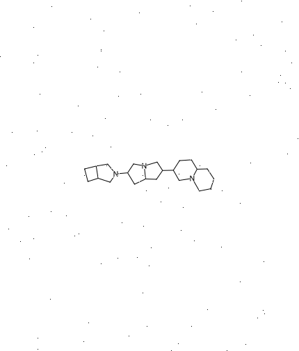 C1CCN2CC(C3CC4CC(N5CC6CCC6C5)CN4C3)CCC2C1